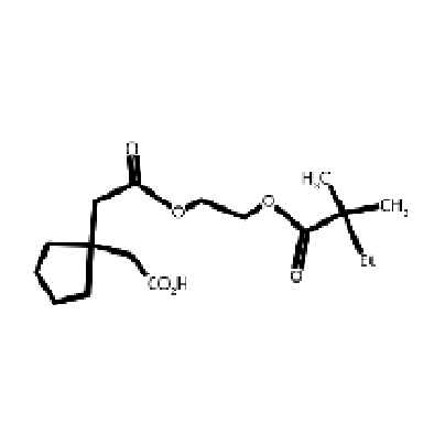 CCC(C)(C)C(=O)OCCOC(=O)CC1(CC(=O)O)CCCC1